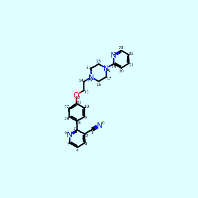 N#Cc1cccnc1-c1ccc(OCCN2CCN(c3ccccn3)CC2)cc1